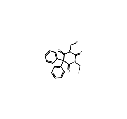 O=C1N(CF)C(=S)N(CF)C(=O)C1(c1ccccc1)c1ccccc1